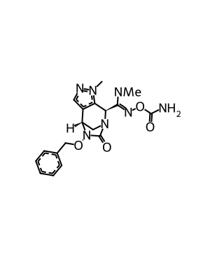 CN/C(=N\OC(N)=O)[C@@H]1c2c(cnn2C)[C@@H]2CN1C(=O)N2OCc1ccccc1